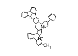 Cc1ccc2[n+](c1)C1CC3=C(Cc4cc5c(cc4-c4cc(-c6ccccc6)cc[n+]43)c3cccc4c6ccccc6n5c43)C1c1ccccc1-2